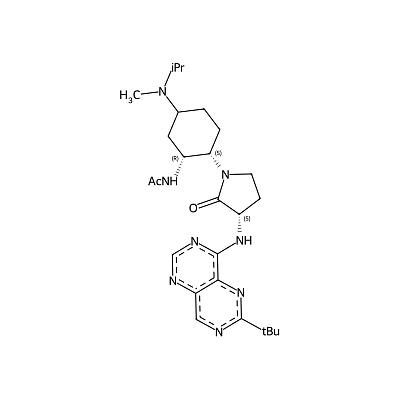 CC(=O)N[C@@H]1CC(N(C)C(C)C)CC[C@@H]1N1CC[C@H](Nc2ncnc3cnc(C(C)(C)C)nc23)C1=O